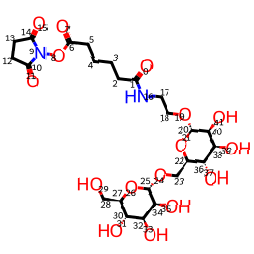 O=C(CCCCC(=O)ON1C(=O)CCC1=O)NCCO[C@H]1O[C@H](CO[C@H]2O[C@H](CO)[C@@H](O)[C@H](O)[C@@H]2O)[C@@H](O)[C@H](O)[C@@H]1O